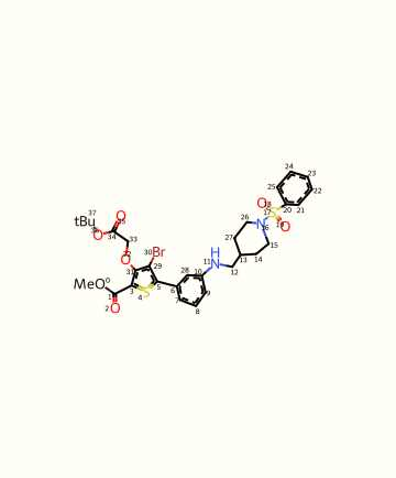 COC(=O)c1sc(-c2cccc(NCC3CCN(S(=O)(=O)c4ccccc4)CC3)c2)c(Br)c1OCC(=O)OC(C)(C)C